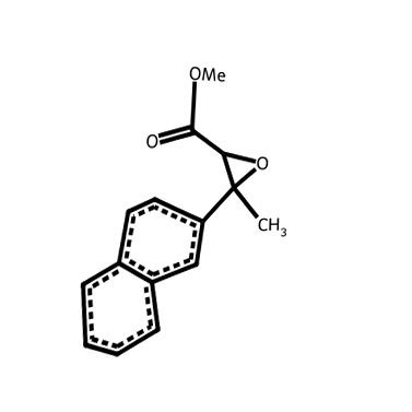 COC(=O)C1OC1(C)c1ccc2ccccc2c1